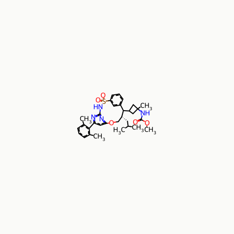 COC(=O)NC1(C)CC(C2c3cccc(c3)S(=O)(=O)Nc3nc(cc(-c4c(C)cccc4C)n3)OC[C@H]2CC(C)C)C1